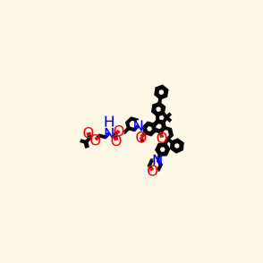 C=C(C)C(=O)OCCNC(=O)OCC1CCCN(c2cc3c4c(c5c(c3cc2OC)OC(c2ccccc2)(c2ccc(N3CCOCC3)cc2)C=C5)C(C)(C)c2cc(-c3ccccc3)ccc2-4)C1